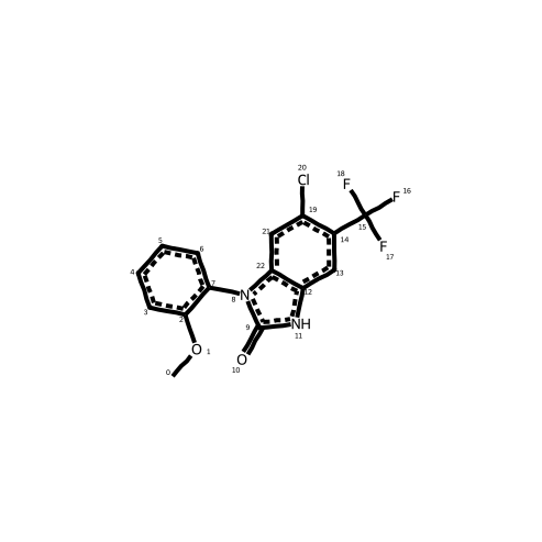 COc1ccccc1-n1c(=O)[nH]c2cc(C(F)(F)F)c(Cl)cc21